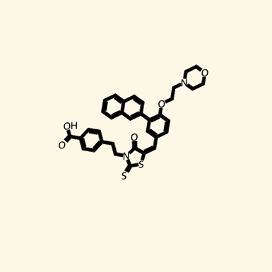 O=C(O)c1ccc(CCN2C(=O)C(=Cc3ccc(OCCN4CCOCC4)c(-c4ccc5ccccc5c4)c3)SC2=S)cc1